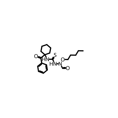 CCCCCON(C=O)NC(=S)NC1(C(=O)c2ccccc2)CCCCC1